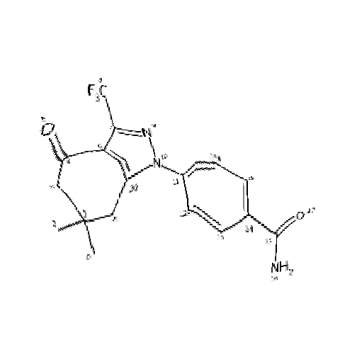 CC1(C)CC(=O)c2c(C(F)(F)F)nn(-c3[c]cc(C(N)=O)cc3)c2C1